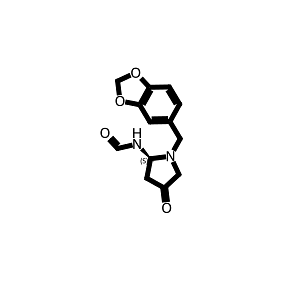 O=CN[C@@H]1CC(=O)CN1Cc1ccc2c(c1)OCO2